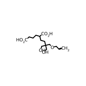 C=CCOCC(CO)(CO)CCC(CCCC(=O)O)C(=O)O